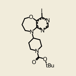 CC(C)(C)OC(=O)N1CCC(N2CCCOc3c(I)ncnc32)CC1